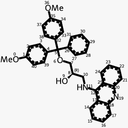 COc1ccc(C(OC[C@H](O)CNc2c3ccccc3nc3ccccc23)(c2ccccc2)c2ccc(OC)cc2)cc1